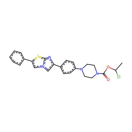 CC(Cl)OC(=O)N1CCN(c2ccc(-c3cn4cc(-c5ccccc5)sc4n3)cc2)CC1